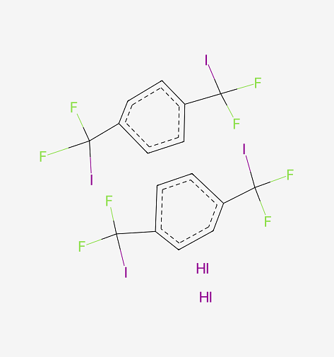 FC(F)(I)c1ccc(C(F)(F)I)cc1.FC(F)(I)c1ccc(C(F)(F)I)cc1.I.I